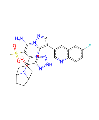 CS(=O)(=O)c1c(C2CC3CCC(C2)N3C(=O)c2cn[nH]n2)nc2c(-c3cnc4ccc(F)cc4c3)cnn2c1N